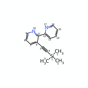 C[Si](C)(C)C#Cc1cccnc1-c1ccccn1